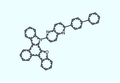 c1ccc(-c2ccc(-c3ccc4nc(-n5c6ccccc6c6c7ccccc7c7c8ccccc8oc7c65)ccc4n3)cc2)cc1